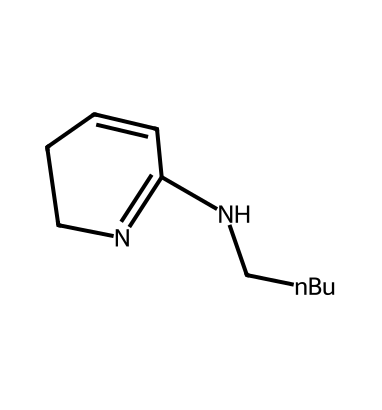 CCCCCNC1=NCCC=C1